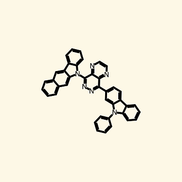 c1ccc(-n2c3ccccc3c3ccc(-c4nnc(-n5c6ccccc6c6cc7ccccc7cc65)c5nccnc45)cc32)cc1